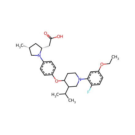 CCOc1ccc(F)c(N2CCC(Oc3ccc(N4C[C@H](C)C[C@@H]4CC(=O)O)cc3)C(C(C)C)C2)c1